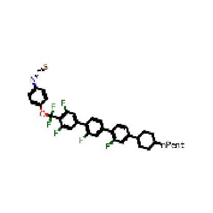 CCCCCC1CCC(c2ccc(-c3ccc(-c4cc(F)c(C(F)(F)Oc5ccc(N=C=S)cc5)c(F)c4)c(F)c3)c(F)c2)CC1